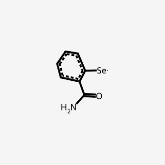 NC(=O)c1ccccc1[Se]